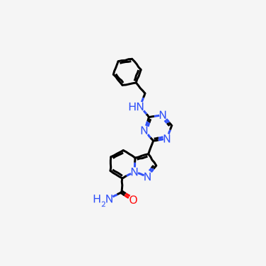 NC(=O)c1cccc2c(-c3ncnc(NCc4ccccc4)n3)cnn12